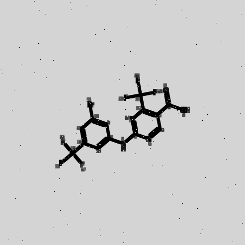 O=C(O)c1cnc(Nc2cc(Br)cc(C(F)(F)F)c2)nc1C(F)(F)F